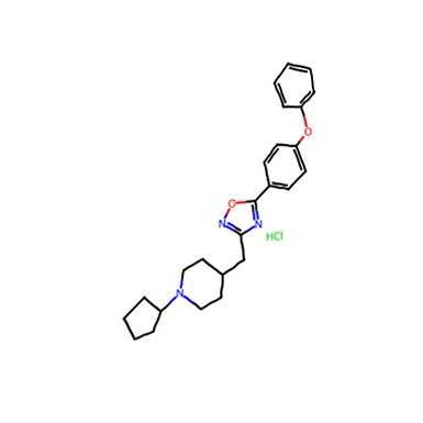 Cl.c1ccc(Oc2ccc(-c3nc(CC4CCN(C5CCCC5)CC4)no3)cc2)cc1